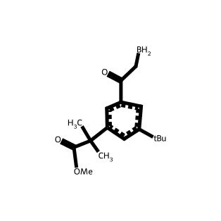 BCC(=O)c1cc(C(C)(C)C)cc(C(C)(C)C(=O)OC)c1